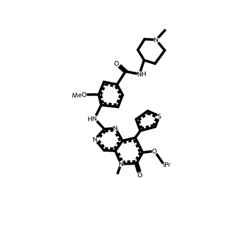 COc1cc(C(=O)NC2CCN(C)CC2)ccc1Nc1ncc2c(n1)c(-c1ccsc1)c(OC(C)C)c(=O)n2C